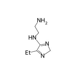 CCC1=NCN=C1NCCN